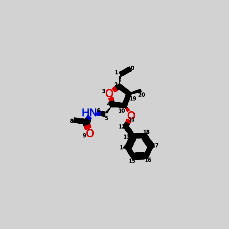 CC[C@H]1O[C@@H](CNC(C)=O)[C@H](OCc2ccccc2)[C@@H]1C